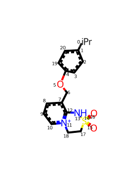 CC(C)c1ccc(OCc2ccc[n+]3c2NS(=O)(=O)CC3)cc1